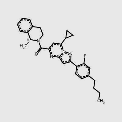 CCCCc1ccc(-c2cc3nc(C(=O)N4CCc5ccccc5[C@H]4C)cc(C4CC4)n3n2)c(F)c1